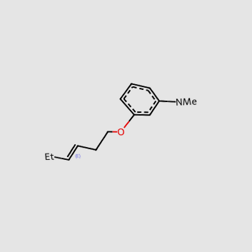 CC/C=C/CCOc1cccc(NC)c1